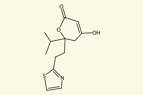 CC(C)C1(CCc2nccs2)CC(O)=CC(=O)O1